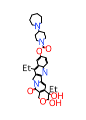 CCc1c2c(nc3ccc(OC(=O)N4CCC(N5CCCCCC5)CC4)cc13)-c1cc3c(c(=O)n1C2)COC(O)[C@]3(O)CC